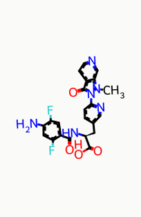 Cn1c2cnccc2c(=O)n1-c1ccc(C[C@H](NC(=O)c2cc(F)c(N)cc2F)C(=O)O)cn1